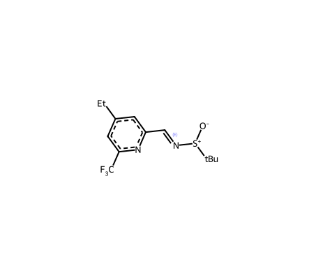 CCc1cc(/C=N/[S+]([O-])C(C)(C)C)nc(C(F)(F)F)c1